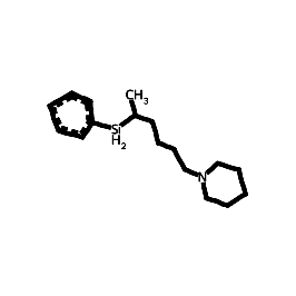 CC(CCCCN1CCCCC1)[SiH2]c1ccccc1